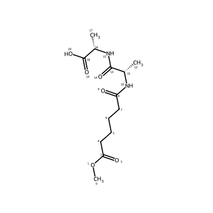 COC(=O)CCCCC(=O)N[C@@H](C)C(=O)N[C@@H](C)C(=O)O